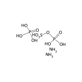 N.N.O=P(O)(O)O.O=P(O)(O)OS(=O)(=O)O